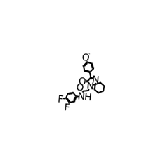 COc1ccc(C2=NC3(CCCCC3)N(CC(=O)Nc3ccc(F)c(F)c3)C2=O)cc1